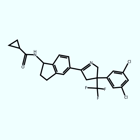 O=C(NC1CCc2cc(C3=NCC(c4cc(Cl)cc(Cl)c4)(C(F)(F)F)C3)ccc21)C1CC1